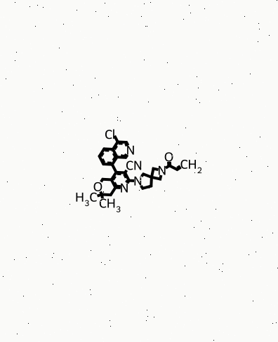 C=CC(=O)N1CC2(CCN(c3nc4c(c(-c5cccc6c(Cl)cncc56)c3C#N)COC(C)(C)C4)C2)C1